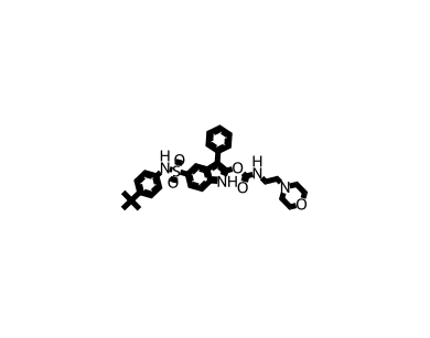 CC(C)(C)c1ccc(NS(=O)(=O)c2ccc3[nH]c(OC(=O)NCCN4CCOCC4)c(-c4ccccc4)c3c2)cc1